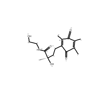 CC1=C(C)C(=O)C(CC[C@@](C)(O)C(=O)NCCO)=C(C)C1=O